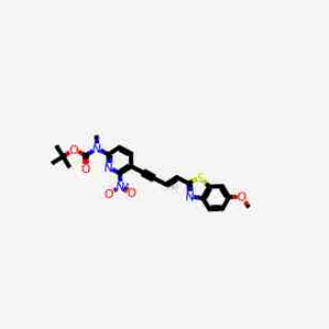 COc1ccc2nc(/C=C/C#Cc3ccc(N(C)C(=O)OC(C)(C)C)nc3[N+](=O)[O-])sc2c1